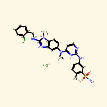 Cc1ccc(Nc2nccc(N(C)c3ccc4c(c3)nc(NCc3ccccc3F)n4C)n2)cc1S(N)(=O)=O.Cl